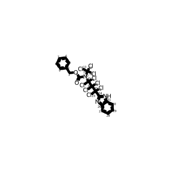 O=C(OCc1ccccc1)N(C(Cl)(Cl)Cl)C(Cl)(Cl)C(Cl)(Cl)C(Cl)(Cl)c1nc2ccccc2[nH]1